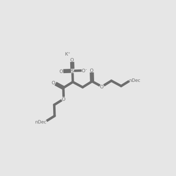 CCCCCCCCCCCCOC(=O)CC(C(=O)OCCCCCCCCCCCC)S(=O)(=O)[O-].[K+]